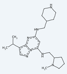 CC(C)c1cnn2c(NCC3CCCN3C)cc(NCC3CCNCC3)nc12